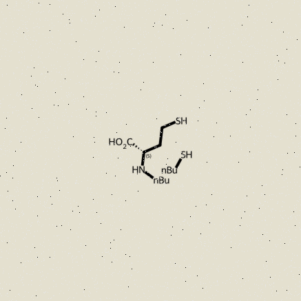 CCCCN[C@@H](CCS)C(=O)O.CCCCS